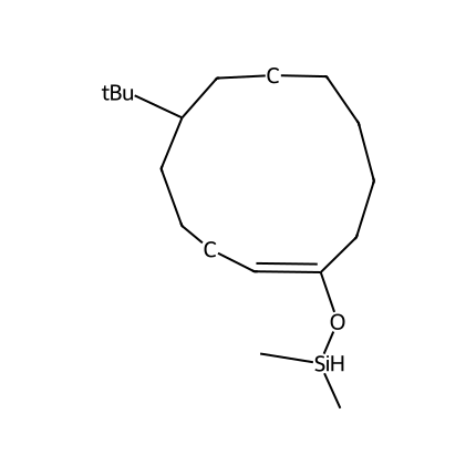 C[SiH](C)OC1=CCCCC(C(C)(C)C)CCCCCC1